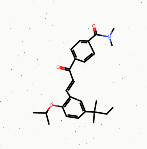 CCC(C)(C)c1ccc(OC(C)C)c(C=CC(=O)c2ccc(C(=O)N(C)C)cc2)c1